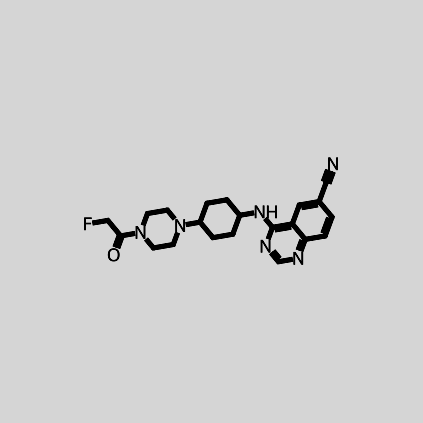 N#Cc1ccc2ncnc(NC3CCC(N4CCN(C(=O)CF)CC4)CC3)c2c1